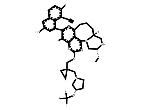 C#Cc1c(F)ccc2cc(O)cc(-c3nc4c5c(nc(OCC6(CN7CC[C@H](OC(F)(F)F)C7)CC6)nc5c3F)N3C[C@@H](CC)NC[C@H]3CCC4)c12